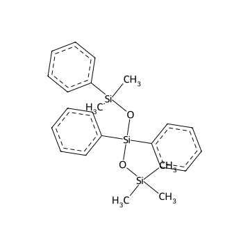 C[Si](C)(C)O[Si](O[Si](C)(C)c1ccccc1)(c1ccccc1)c1ccccc1